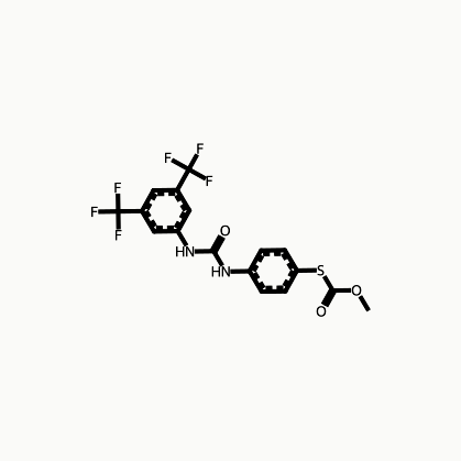 COC(=O)Sc1ccc(NC(=O)Nc2cc(C(F)(F)F)cc(C(F)(F)F)c2)cc1